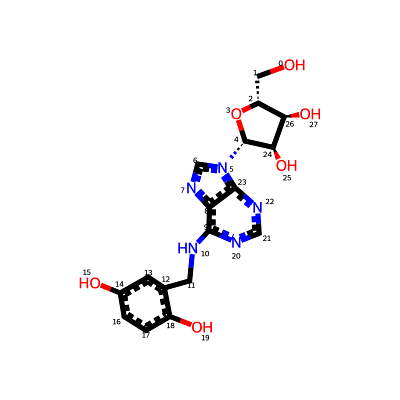 OC[C@H]1O[C@@H](n2cnc3c(NCc4cc(O)ccc4O)ncnc32)[C@H](O)[C@@H]1O